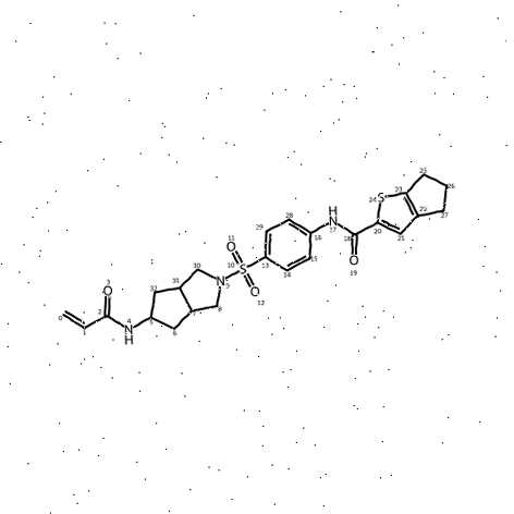 C=CC(=O)NC1CC2CN(S(=O)(=O)c3ccc(NC(=O)c4cc5c(s4)CCC5)cc3)CC2C1